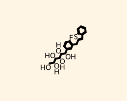 OC[C@@H](O)[C@@H](O)[C@H](O)[C@@H](O)[C@@H](O)c1ccc(F)c(Cc2cc3ccccc3s2)c1